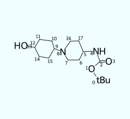 CC(C)(C)OC(=O)NC1CCN(C2CCC(O)CC2)CC1